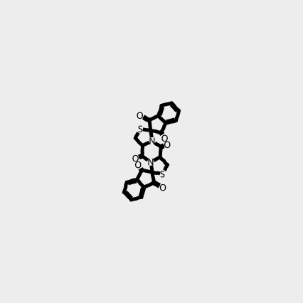 O=C1C2CSC3(C(=O)c4ccccc4C3=O)N2C(=O)C2CSC3(C(=O)c4ccccc4C3=O)N12